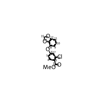 COC(=O)c1ccc(Oc2cccc3c2OCO3)cc1Cl